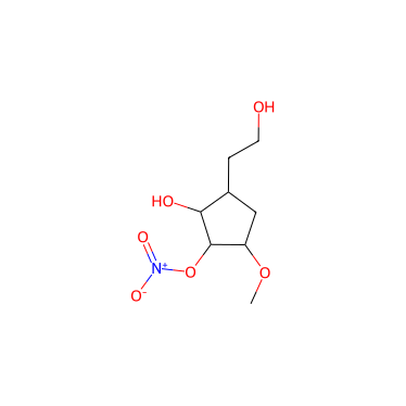 COC1CC(CCO)C(O)C1O[N+](=O)[O-]